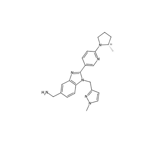 C[C@H]1CCCN1c1ccc(-c2nc3cc(CN)ccc3n2Cc2ccn(C)n2)cn1